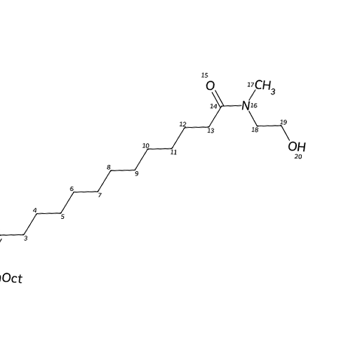 CCCCCCCC/C=C\CCCCCCCCCCCC(=O)N(C)CCO